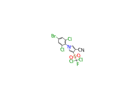 N#Cc1cn(-c2c(Cl)cc(Br)cc2Cl)cc1S(=O)(=O)C(F)(Cl)Cl